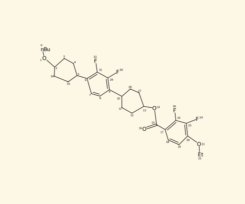 CCCCOC1CCC(c2ccc(C3CCC(OC(=O)c4ccc(OCC)c(F)c4F)CC3)c(F)c2F)CC1